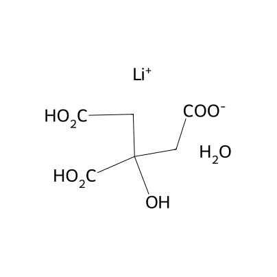 O.O=C([O-])CC(O)(CC(=O)O)C(=O)O.[Li+]